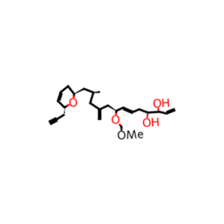 C#CC[C@@H]1C=CC[C@@H](C[C@@H](C)CC(=C)C[C@@H](/C=C/C[C@H](O)[C@@H](O)C=C)OCOC)O1